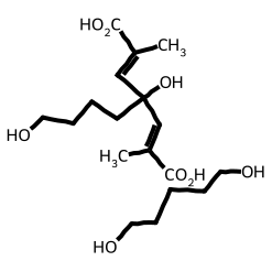 CC(=CC(O)(C=C(C)C(=O)O)CCCCO)C(=O)O.OCCCCCO